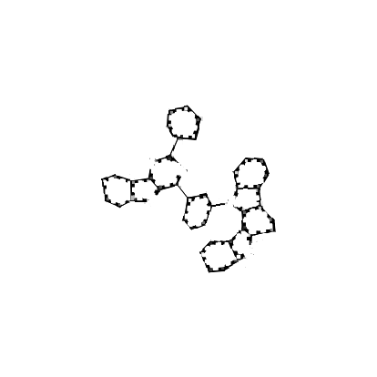 c1ccc(-c2nc(-c3cccc(-n4c5ccccc5c5ccc6sc7ccccc7c6c54)c3)c3sc4ccccc4c3n2)cc1